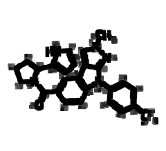 Cn1cc2c3cc(C(=O)N4CCCC4c4ccc[nH]4)ccc3n(-c3ccc(C(F)(F)F)cc3)c2n1